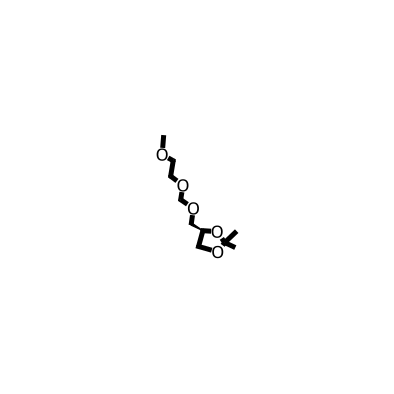 COCCOCOC[C@@H]1COC(C)(C)O1